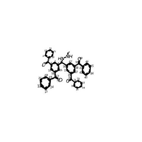 CNNC(c1cc(C(=O)c2ccccc2)cc(C(=O)c2ccccc2)c1)c1cc(C(=O)c2ccccc2)cc(C(=O)c2ccccc2)c1